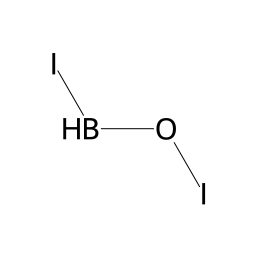 IBOI